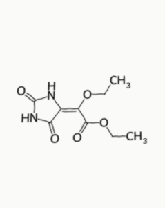 CCOC(=O)C(OCC)=C1NC(=O)NC1=O